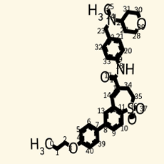 CCCOc1ccc(-c2ccc3c(c2)C=C(C(=O)Nc2ccc(CN(C)C4CCOCC4)cc2)CCS3(=O)=O)cc1